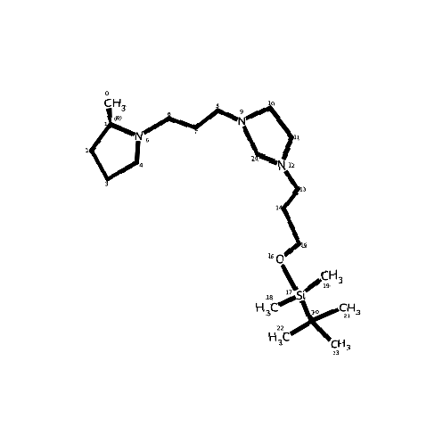 C[C@@H]1CCCN1CCCN1CCN(CCCO[Si](C)(C)C(C)(C)C)C1